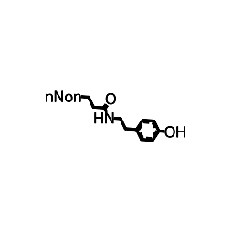 CCCCCCCCCCCC(=O)NCCc1ccc(O)cc1